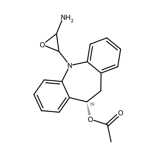 CC(=O)O[C@H]1Cc2ccccc2N(C2OC2N)c2ccccc21